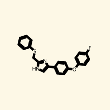 Fc1ccc(Oc2ccc(-c3c[nH]c(CSc4ccccc4)n3)cc2)cc1